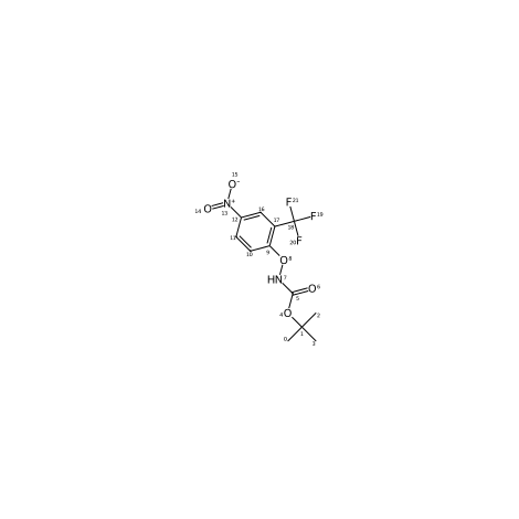 CC(C)(C)OC(=O)NOc1ccc([N+](=O)[O-])cc1C(F)(F)F